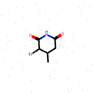 CCC1C(=O)NC(=O)CC1C